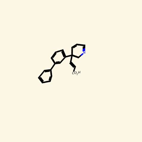 O=C(O)/C=C/C1(c2cccc(-c3ccccc3)c2)C=CC=NC1